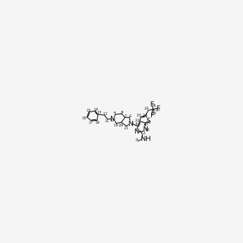 CNc1nc(N2CC3CCN(CCc4ccccc4)CC3C2)c2cc(CC(F)(F)F)sc2n1